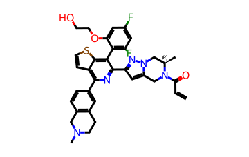 C=CC(=O)N1Cc2cc(-c3nc(-c4ccc5c(c4)CCN(C)C5)c4ccsc4c3-c3c(F)cc(F)cc3OCCO)nn2C[C@H]1C